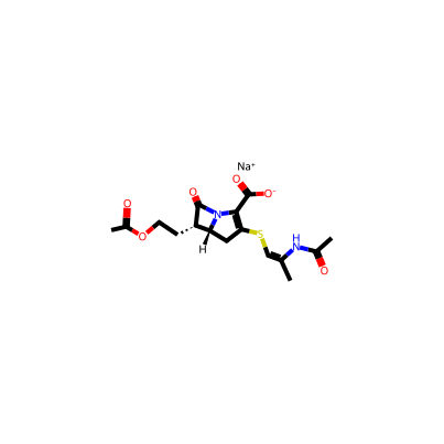 CC(=O)NC(C)=CSC1=C(C(=O)[O-])N2C(=O)[C@@H](CCOC(C)=O)[C@H]2C1.[Na+]